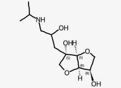 CC(C)NCC(O)C[C@]1(O)CO[C@@H]2[C@H](O)CO[C@@H]21